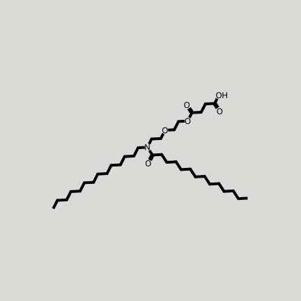 CCCCCCCCCCCCCCN(CCOCCOC(=O)CCC(=O)O)C(=O)CCCCCCCCCCCCC